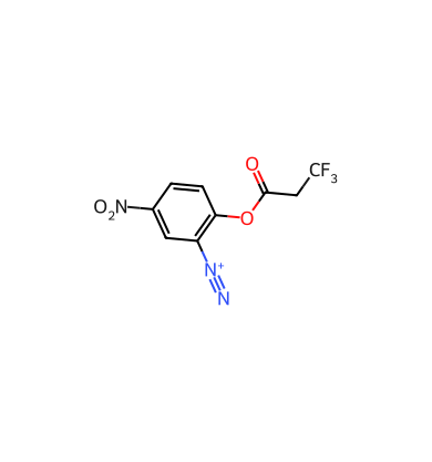 N#[N+]c1cc([N+](=O)[O-])ccc1OC(=O)CC(F)(F)F